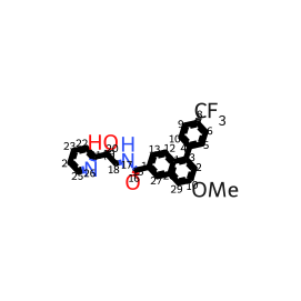 COc1cc(-c2ccc(C(F)(F)F)cc2)c2ccc(C(=O)NC[C@H](O)c3ccccn3)cc2c1